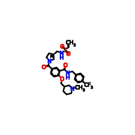 C=CS(=O)(=O)NC[C@@H]1CCN(C(=O)c2ccc(OCC3CCCN(C)C3)c(C(=O)NCc3ccc(C(F)(F)F)cc3)c2)C1